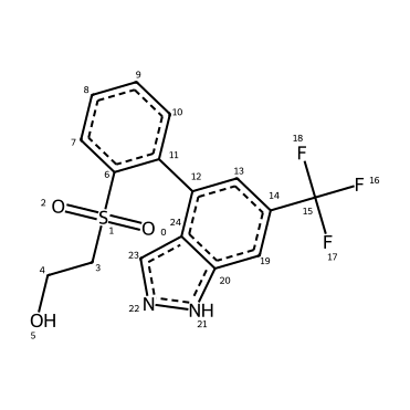 O=S(=O)(CCO)c1ccccc1-c1cc(C(F)(F)F)cc2[nH]ncc12